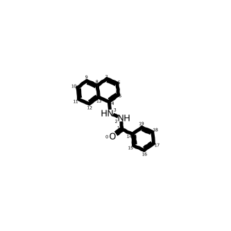 O=C(NNc1cccc2ccccc12)c1ccccc1